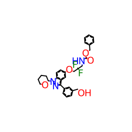 O=C(NCC(F)(F)COc1ccc2c(c1)c(-c1cccc(CO)c1)nn2C1CCCCO1)OCc1ccccc1